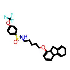 [O-][S+](NCCCCCOC1=CC=CC2C3=CCCC=C3CC12)c1ccc(OC(F)(F)F)cc1